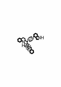 CS(=O)(=O)N(CC(=O)C(C1CCc2ccccc2N1)N1CCN(c2cccc3[nH]ccc23)CC1)Cc1ccccc1